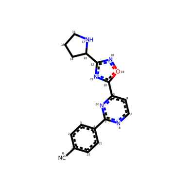 N#Cc1ccc(-c2nccc(-c3nc(C4CCCN4)no3)n2)cc1